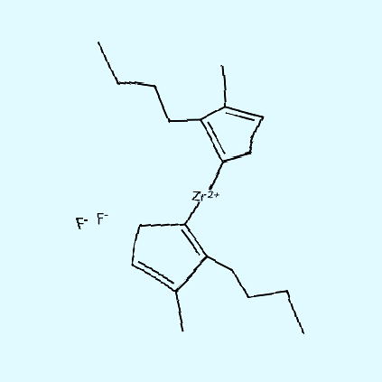 CCCCC1=[C]([Zr+2][C]2=C(CCCC)C(C)=CC2)CC=C1C.[F-].[F-]